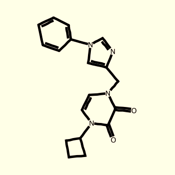 O=c1c(=O)n(C2CCC2)ccn1Cc1cn(-c2ccccc2)cn1